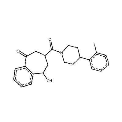 Cc1ccccc1C1CCN(C(=O)C2CC(=O)c3ccccc3C(O)C2)CC1